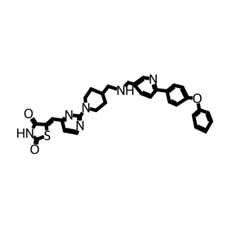 O=C1NC(=O)/C(=C/c2ccnc(N3CCC(CNCc4ccc(-c5ccc(Oc6ccccc6)cc5)nc4)CC3)n2)S1